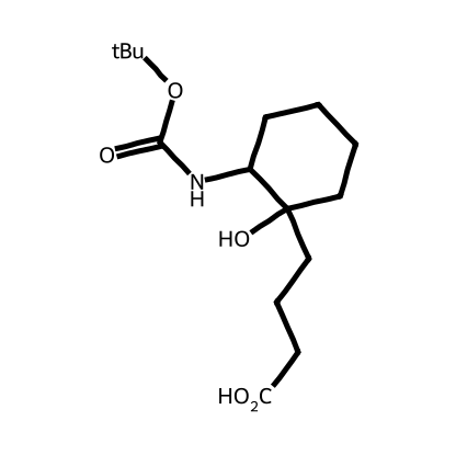 CC(C)(C)OC(=O)NC1CCCCC1(O)CCCC(=O)O